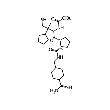 CC(C)COC(=O)NC(C(=O)N1CCC[C@H]1C(=O)NCC1CCC(C(=N)N)CC1)C(C)(CS)C1CCCC1